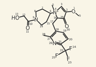 COC1=C[N+](C)(C2CCN(C(=O)CO)CC2)C(Cc2ccc(C(F)(F)F)nc2C)C1=O